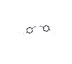 O=CNc1ccc(CNCc2ccc(OC(F)(F)F)cc2)cc1